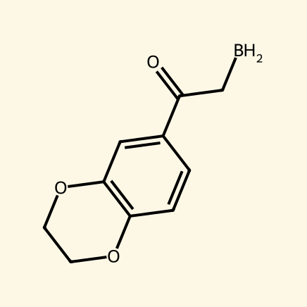 BCC(=O)c1ccc2c(c1)OCCO2